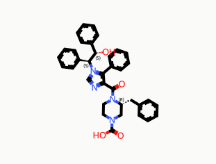 O=C(O)N1CCN(C(=O)c2ncn([C@@H](c3ccccc3)[C@@H](O)c3ccccc3)c2-c2ccccc2)[C@H](Cc2ccccc2)C1